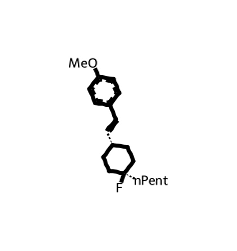 CCCCC[C@]1(F)CC[C@H](C=Cc2ccc(OC)cc2)CC1